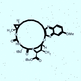 COc1ccc2nc3c(nc2c1)O[C@H]1CN(C(=O)[C@H](C(C)(C)C)NC(=O)O[C@]2(C)C[C@H]2CCCCC3)[C@H](C(=O)OCC(C)C)[C@@H]1C